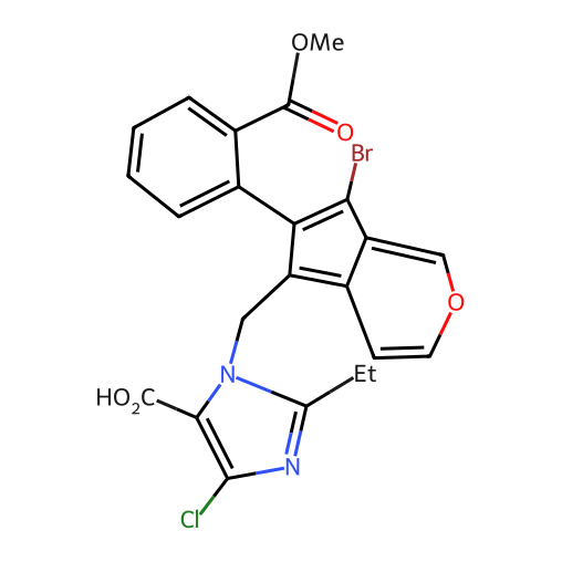 CCc1nc(Cl)c(C(=O)O)n1Cc1c2ccocc-2c(Br)c1-c1ccccc1C(=O)OC